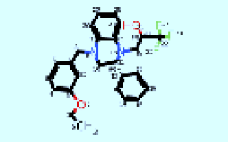 CCOc1cccc(CN2C[C@@H](c3ccccc3)N(C[C@@H](O)C(F)(F)F)c3ccccc32)c1